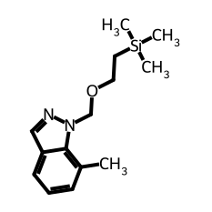 Cc1cccc2cnn(COCC[Si](C)(C)C)c12